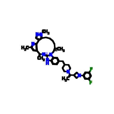 C=C1/N=C2\Nc3ccc(CC4CCN(C(=C)C5CN(c6cc(F)cc(F)c6)C5)CC4)cc3N2C[C@H](C)CCCCc2c(cnn2C)-c2cc1cc(C)n2